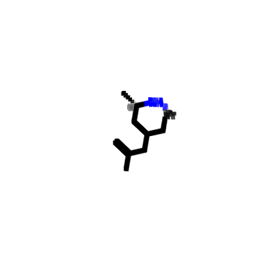 C=C(C)CC(CC(C)C)C[C@H](C)N